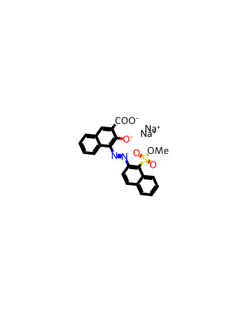 COS(=O)(=O)c1c(N=Nc2c([O-])c(C(=O)[O-])cc3ccccc23)ccc2ccccc12.[Na+].[Na+]